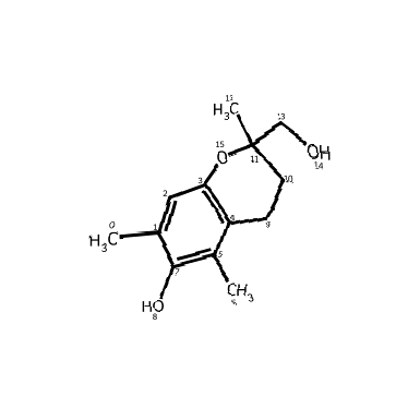 Cc1cc2c(c(C)c1O)CCC(C)(CO)O2